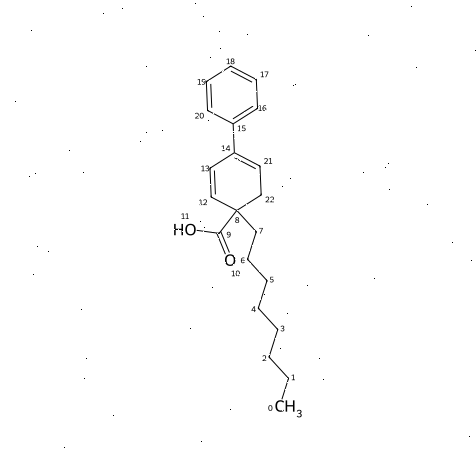 CCCCCCCCC1(C(=O)O)C=CC(c2ccccc2)=CC1